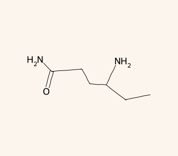 CCC(N)CCC(N)=O